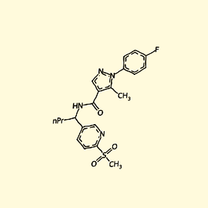 CCCC(NC(=O)c1cnn(-c2ccc(F)cc2)c1C)c1ccc(S(C)(=O)=O)nc1